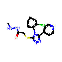 CNNC(=O)CSc1nnc(-c2ccncc2)n1-c1ccccc1Cl